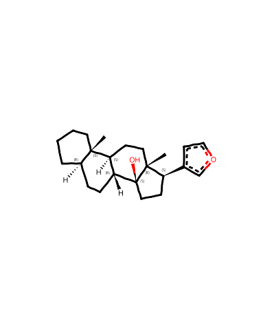 C[C@]12CCCC[C@@H]1CC[C@@H]1[C@@H]2CC[C@]2(C)[C@@H](c3ccoc3)CC[C@]12O